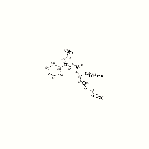 CCCCCCCCCCCCOCC(CN(C)CCN(CCO)C1CCCCC1)OCCCCCC